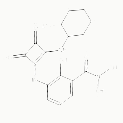 CN(C)C(=O)c1cccc(Nc2c(NC3CCCC[C@H]3O)c(=O)c2=O)c1O